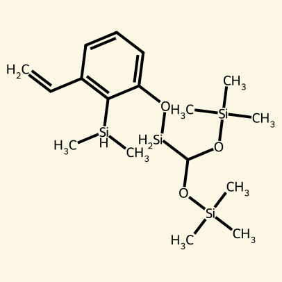 C=Cc1cccc(O[SiH2]C(O[Si](C)(C)C)O[Si](C)(C)C)c1[SiH](C)C